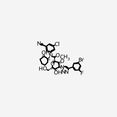 CO[C@@H]1[C@@H](n2cc(-c3cc(F)cc(Br)c3)nn2)[C@@H](O)[C@@H](CO)O[C@H]1C(=O)N(c1cc(Cl)cc(C#N)c1)[C@H]1CCCC[C@@H]1O